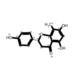 Cc1c(O)cc(O)c2c1O[C@@H](c1ccc(O)cc1)CC2=O